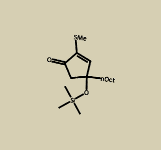 CCCCCCCCC1(O[Si](C)(C)C)C=C(SC)C(=O)C1